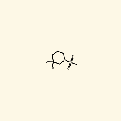 CC(C)C1(O)CCCN(S(C)(=O)=O)C1